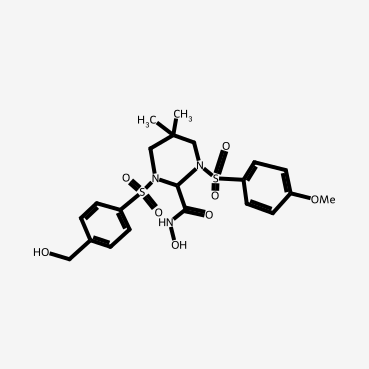 COc1ccc(S(=O)(=O)N2CC(C)(C)CN(S(=O)(=O)c3ccc(CO)cc3)C2C(=O)NO)cc1